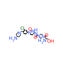 NC1CCN(Cc2ccc(-n3ccc(NC(=O)N4CCN(C(=O)C(N)CO)CC4)nc3=O)cc2Cl)CC1